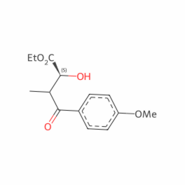 CCOC(=O)[C@@H](O)C(C)C(=O)c1ccc(OC)cc1